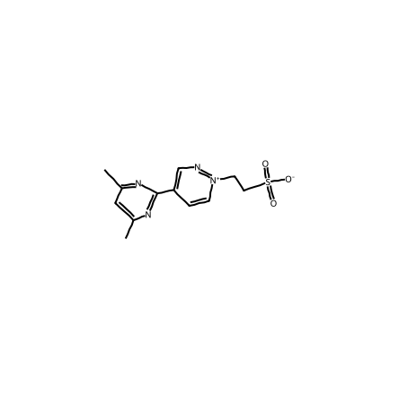 Cc1cc(C)nc(-c2cc[n+](CCS(=O)(=O)[O-])nc2)n1